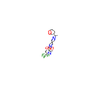 Cc1nc(C(F)(F)F)ccc1S(=O)(=O)N1CC2(CN(C(C)[C@@H]3CCCOC3)C2)C1